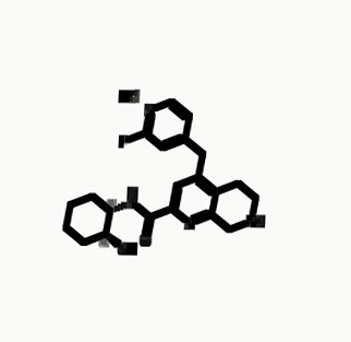 Cl.O=C(N[C@H]1CCCC[C@@H]1O)c1cc(Cc2ccnc(F)c2)c2c(n1)CNCC2